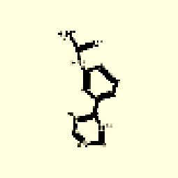 NC(=O)Nc1cccc(-c2ncncn2)c1